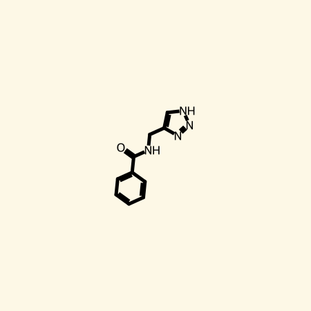 O=C(NCc1c[nH]nn1)c1ccccc1